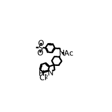 CC(=O)N(Cc1ccc(S(C)(=O)=O)cc1)C1CCC(CN)(c2cccc(Cl)c2)CC1